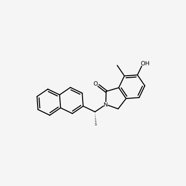 Cc1c(O)ccc2c1C(=O)N([C@H](C)c1ccc3ccccc3c1)C2